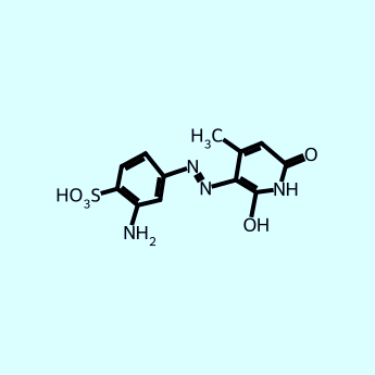 Cc1cc(=O)[nH]c(O)c1N=Nc1ccc(S(=O)(=O)O)c(N)c1